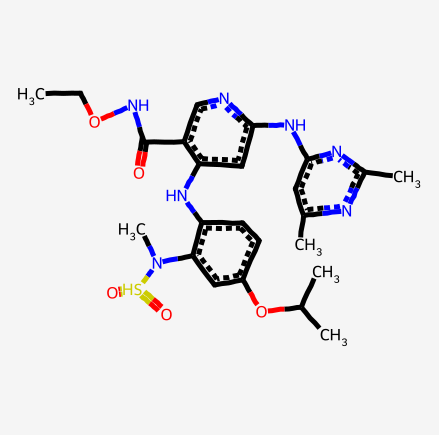 CCONC(=O)c1cnc(Nc2cc(C)nc(C)n2)cc1Nc1ccc(OC(C)C)cc1N(C)[SH](=O)=O